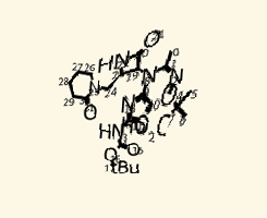 C/C(=N/OC(C)(C)C(=O)O)N(c1csc(NC(=O)OC(C)(C)C)n1)[C@@H]1C(=O)N[C@@H]1CN1CCCCC1=O